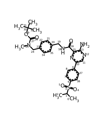 CC(C)S(=O)(=O)c1ccc(-c2cnc(N)c(C(=O)NCc3ccc(CN(C)C(=O)OC(C)(C)C)cc3)n2)cc1